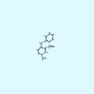 [CH2]c1ccc(Oc2ccccc2)c(OC)c1